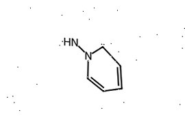 [NH]N1[C]C=CC=C1